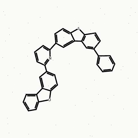 c1ccc(-c2ccc3sc4ccc(-c5cccc(-c6ccc7oc8ccccc8c7c6)n5)cc4c3c2)cc1